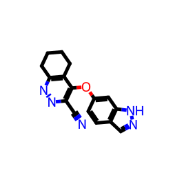 N#Cc1nnc2c(c1Oc1ccc3cn[nH]c3c1)CCCC2